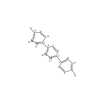 Cc1ccc(-c2ccc(-c3ccc(C)nn3)nn2)cc1